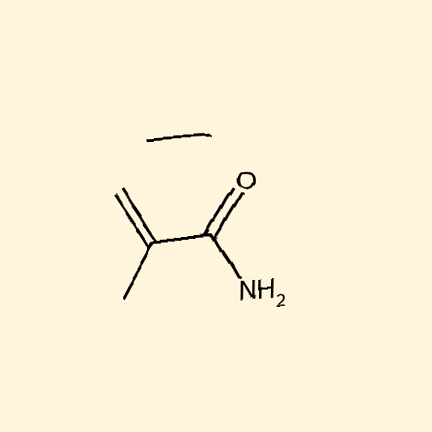 C=C(C)C(N)=O.CC